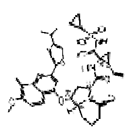 C=C[C@@H]1C[C@]1(NC(=O)[C@@H]1C[C@@H](Oc2cc(-c3nc(C(C)C)cs3)nc3c(C)c(OC)ccc23)[C@H]2CCCC(=O)N21)C(=O)NS(=O)(=O)C1CC1